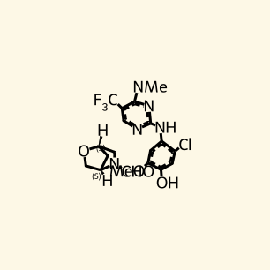 CNc1nc(Nc2cc(OC)c(O)cc2Cl)ncc1C(F)(F)F.O=CN1C[C@@H]2C[C@H]1CO2